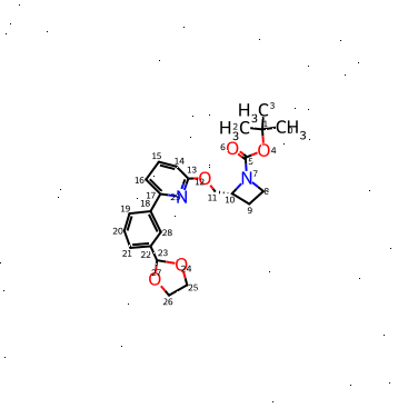 CC(C)(C)OC(=O)N1CC[C@@H]1COc1cccc(-c2cccc(C3OCCO3)c2)n1